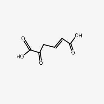 O=C(O)C=CCC(=O)C(=O)O